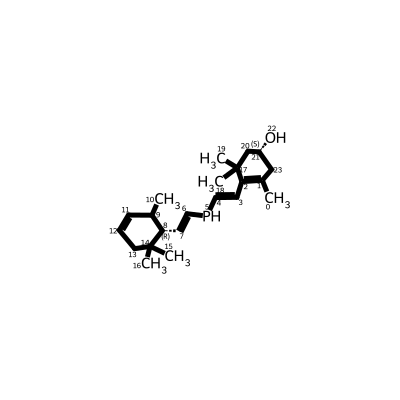 CC1=C(C=CPC=C[C@H]2C(C)C=CCC2(C)C)C(C)(C)C[C@H](O)C1